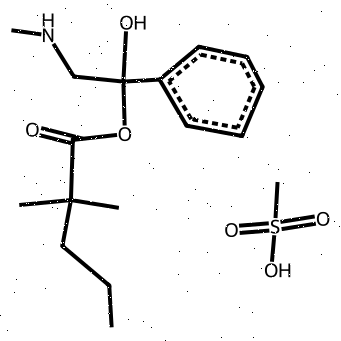 CCCC(C)(C)C(=O)OC(O)(CNC)c1ccccc1.CS(=O)(=O)O